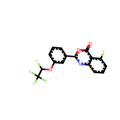 O=c1oc(-c2cccc(OC(F)C(F)(F)F)c2)nc2cccc(F)c12